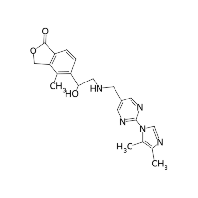 Cc1ncn(-c2ncc(CNCC(O)c3ccc4c(c3C)COC4=O)cn2)c1C